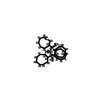 S=P(NP(=S)(C1CCCCCCC1)C1CCCCCCC1)(C1CCCCCCC1)C1CCCCCCC1